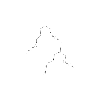 CC(CCCN=C=O)CN=C=O.CCC(CCN=C=O)CN=C=O